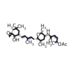 CC(=O)O[C@@H](C)/C=C\C(=O)N[C@@H]1C[C@H](C)[C@H](C/C=C(C)/C=C/[C@H]2CC(C)(C)C[C@@]3(CO3)[C@@H]2O)O[C@@H]1C